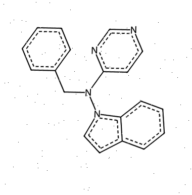 c1ccc(CN(c2ccncn2)n2ccc3ccccc32)cc1